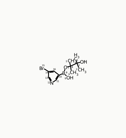 CC(C)(O)C(C)(C)OB(O)c1cncc(Br)c1